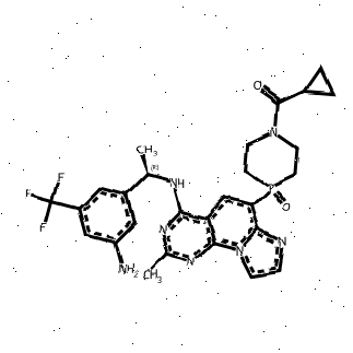 Cc1nc(N[C@H](C)c2cc(N)cc(C(F)(F)F)c2)c2cc(P3(=O)CCN(C(=O)C4CC4)CC3)c3nccn3c2n1